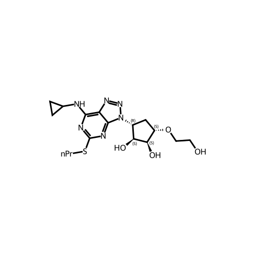 CCCSc1nc(NC2CC2)c2nnn([C@@H]3C[C@H](OCCO)[C@@H](O)[C@H]3O)c2n1